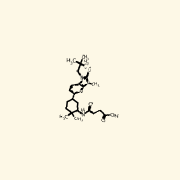 Cn1c(=O)n(CC(C)(C)C)c2ccc(C3CCC(C)(C)C(NC(=O)CCC(=O)O)C3)nc21